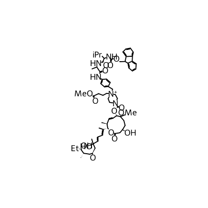 CC[C@H](O)[C@@H](C)[C@H]1O[C@@H]1CC(C)(O)/C=C/C=C(\C)[C@H]1OC(=O)C[C@H](O)CC[C@@](C)(OC)[C@@H](OC(=O)N2CC[N+](CCCC(=O)OC)(Cc3ccc(NC(=O)C(C)NC(=O)C(NC(=O)OCC4c5ccccc5-c5ccccc54)C(C)C)cc3)CC2)/C=C/[C@@H]1C